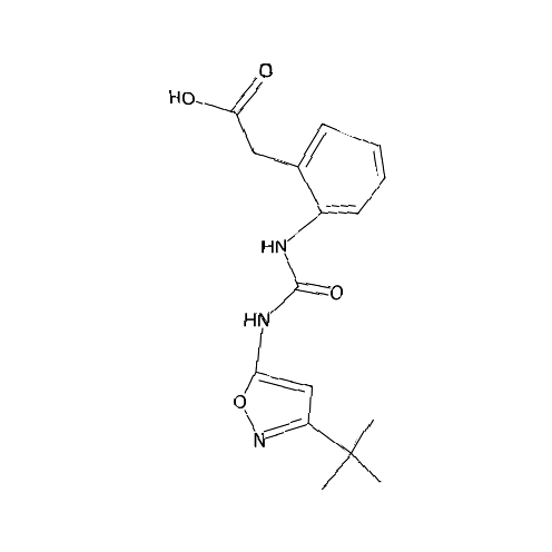 CC(C)(C)c1cc(NC(=O)Nc2ccccc2CC(=O)O)on1